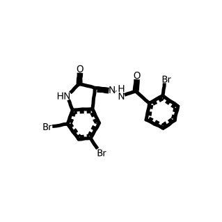 O=C1Nc2c(Br)cc(Br)cc2/C1=N\NC(=O)c1ccccc1Br